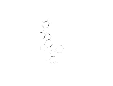 CNC(C)C(=O)NC(C(=O)N1CCCC1c1cncc(C(=O)c2ccc(F)cc2)c1)C1CCCCC1